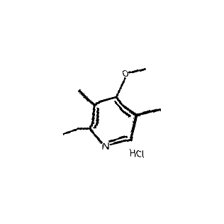 COc1c(C)cnc(C)c1C.Cl